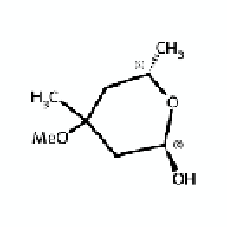 COC1(C)C[C@H](C)O[C@@H](O)C1